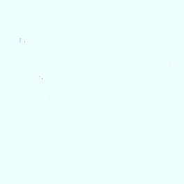 CCCc1cc(SC)c2c(c1)[C@@H]1CNCCN1C2=O